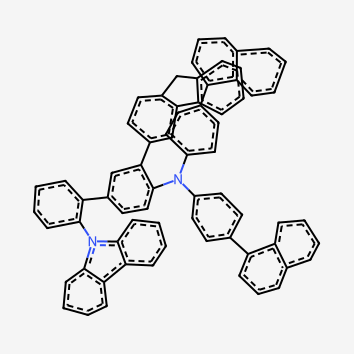 c1ccc2c(c1)Cc1ccc(-c3cc(-c4ccccc4-n4c5ccccc5c5ccccc54)ccc3N(c3ccc(-c4cccc5ccccc45)cc3)c3ccc(-c4cccc5ccccc45)cc3)cc1-2